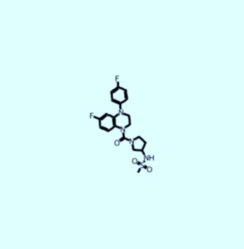 CS(=O)(=O)NC1CCN(C(=O)N2CCN(c3ccc(F)cc3)c3cc(F)ccc32)C1